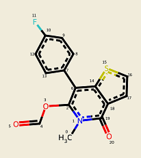 Cn1c(OC=O)c(-c2ccc(F)cc2)c2sccc2c1=O